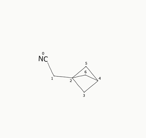 N#CCC12CC(C1)C2